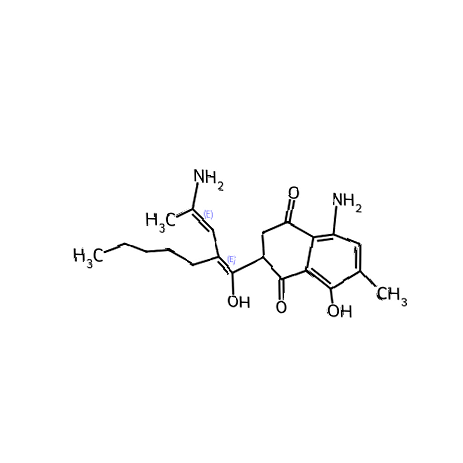 CCCCCC(/C=C(\C)N)=C(\O)C1CC(=O)c2c(N)cc(C)c(O)c2C1=O